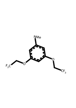 CNc1cc(OCC(F)(F)F)cc(OCC(F)(F)F)c1